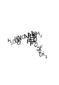 CCOC(=O)[C@@H]1CC2(CCN(c3cc(O[C@H](c4ccc(-c5ccc(OCC)c(F)c5)cc4)C(F)(F)F)nc(N)n3)CC2)CN1